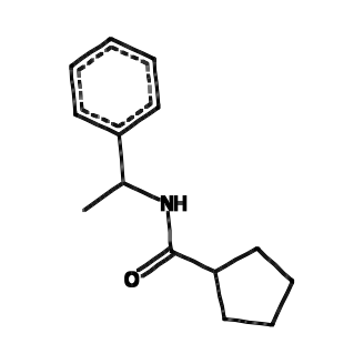 CC(NC(=O)C1CCCC1)c1ccccc1